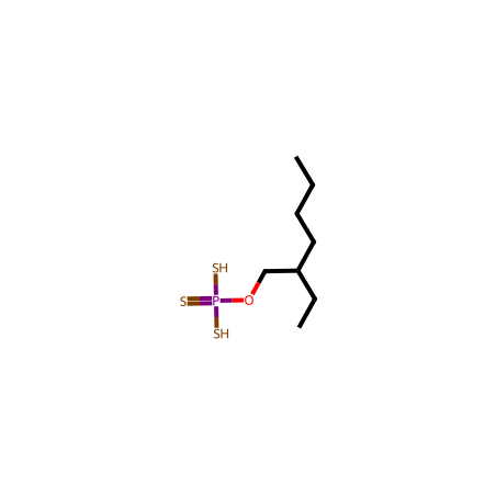 CCCCC(CC)COP(=S)(S)S